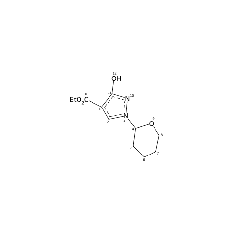 CCOC(=O)c1cn(C2CCCCO2)nc1O